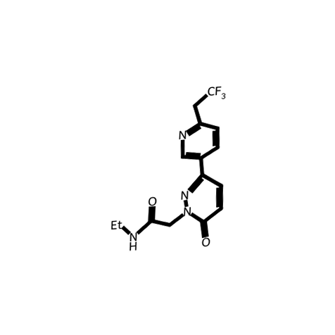 CCNC(=O)Cn1nc(-c2ccc(CC(F)(F)F)nc2)ccc1=O